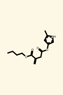 C=C(CC(=O)Oc1c[nH]c(C)c1)C(=O)OCCCC